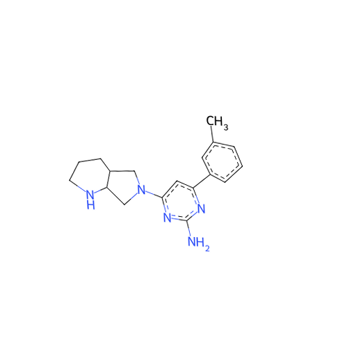 Cc1cccc(-c2cc(N3CC4CCCNC4C3)nc(N)n2)c1